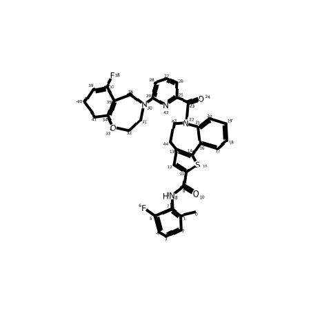 Cc1cccc(F)c1NC(=O)c1cc2c(s1)-c1ccccc1N(C(=O)c1cccc(N3CCOC4=C(C3)C(F)=CCC4)n1)CC2